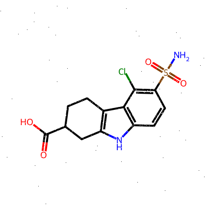 NS(=O)(=O)c1ccc2[nH]c3c(c2c1Cl)CCC(C(=O)O)C3